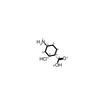 Cl.N[C@H]1CC[C@H](C(=O)O)CC1